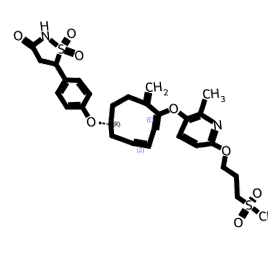 C=C1CC[C@@H](Oc2ccc(C3CC(=O)NS3(=O)=O)cc2)C/C=C\C=C/1Oc1ccc(OCCCS(C)(=O)=O)nc1C